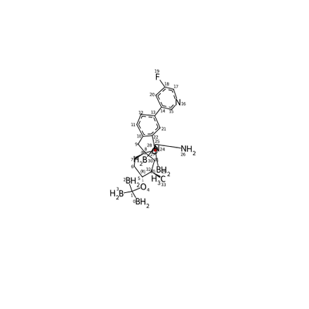 BC(B)(B)O[C@@H]1CC[C@]2(Cc3ccc(-c4cncc(F)c4)cc3[C@]23N=C(N)OC3(B)B)C[C@H]1C